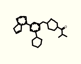 CC(C)C(=O)C1CCC(Cc2cc(-c3cccc4c3C=CC4)cc(C3CCCCC3)c2)CC1